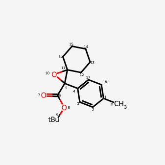 Cc1ccc(C2(C(=O)OC(C)(C)C)OC23CCCCC3)cc1